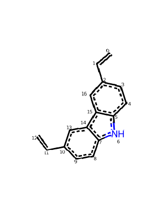 C=Cc1ccc2[nH]c3ccc(C=C)cc3c2c1